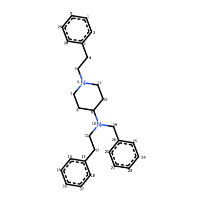 c1ccc(CCN2CCC(N(CCc3ccccc3)Cc3ccccc3)CC2)cc1